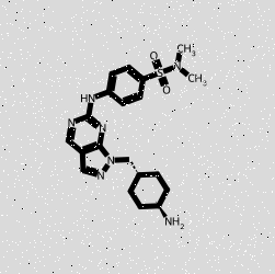 CN(C)S(=O)(=O)c1ccc(Nc2ncc3cnn(C[C@H]4CC[C@H](N)CC4)c3n2)cc1